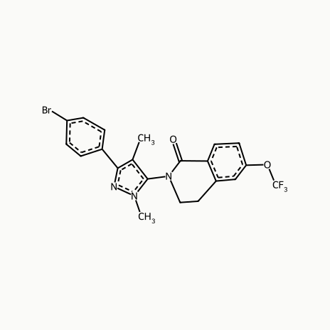 Cc1c(-c2ccc(Br)cc2)nn(C)c1N1CCc2cc(OC(F)(F)F)ccc2C1=O